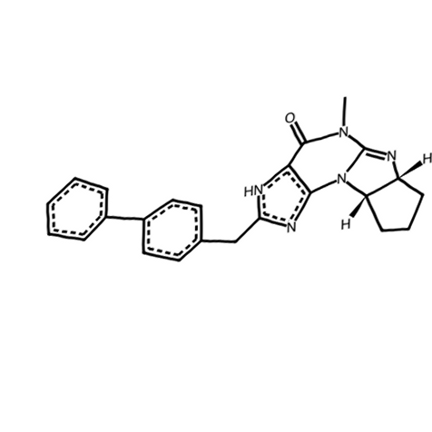 CN1C(=O)c2[nH]c(Cc3ccc(-c4ccccc4)cc3)nc2N2C1=N[C@@H]1CCC[C@@H]12